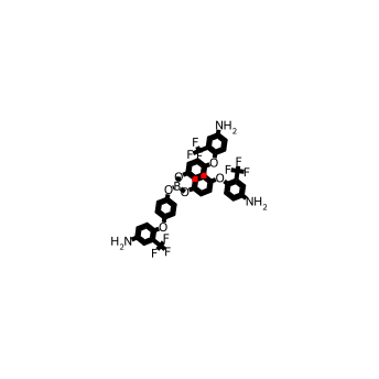 Nc1ccc(Oc2ccc(OB(Oc3ccc(Oc4ccc(N)cc4C(F)(F)F)cc3)Oc3ccc(Oc4ccc(N)cc4C(F)(F)F)cc3)cc2)c(C(F)(F)F)c1